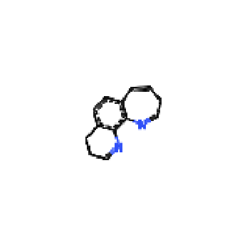 C1=Cc2ccc3c(c2N=CC1)N=CCC3